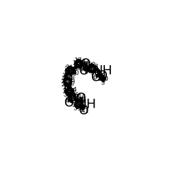 CC(C)(C)OC(=O)NC1CCN(S(=O)(=O)c2cccc(C3CCN(CC4CCN(c5ccc6c(c5)CN(C5CCC(=O)NC5=O)C6=O)CC4)CC3)c2)CC1